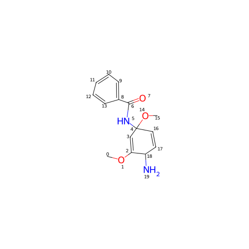 COC1=CC(NC(=O)c2ccccc2)(OC)C=CC1N